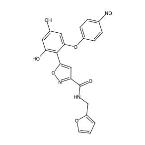 O=Nc1ccc(Oc2cc(O)cc(O)c2-c2cc(C(=O)NCc3ccco3)no2)cc1